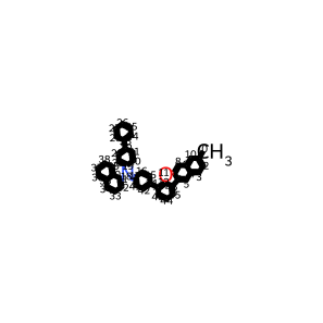 Cc1ccc2cc3c(cc2c1)oc1c(-c2ccc(N(c4ccc(-c5ccccc5)cc4)c4cccc5ccccc45)cc2)cccc13